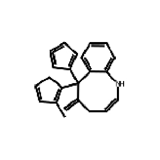 C=C1C/C=C\Nc2ccccc2C1(C1=CC=C=C1)C1=C(C)C=CC1